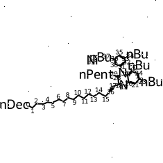 CCCCCCCCCCCCCCCCCCCCCCCCCC#CC(=Nc1cc(CCCC)cc(CCCC)c1)C(CCCCC)=Nc1cc(CCCC)cc(CCCC)c1.[Ni]